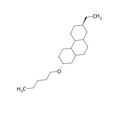 CCCCCO[C@@H]1CCC2C(CCC3C[C@H](CC)CCC32)C1